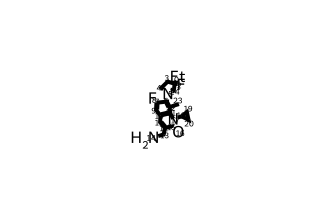 CCC1(F)CCN(c2c(F)cc3cc(CN)c(=O)n(C4CC4)c3c2C)C1